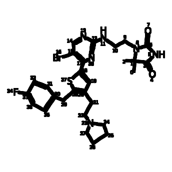 CC1(C)C(=O)NC(=O)N1CCNc1ncc(Br)c(-c2cc(CCN3CCCC3)c(Cc3ccc(F)cc3)s2)n1